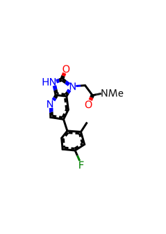 CNC(=O)Cn1c(=O)[nH]c2ncc(-c3ccc(F)cc3C)cc21